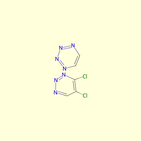 Clc1cnnnc1Cl.c1cnnnn1